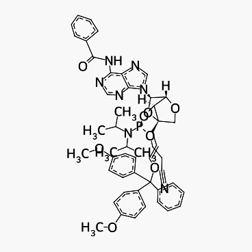 COc1ccc(C(OC=CC[C@@]23CO[C@@H]([C@H](n4cnc5c(NC(=O)c6ccccc6)ncnc54)O2)[C@@H]3OP(OCCC#N)N(C(C)C)C(C)C)(c2ccccc2)c2ccc(OC)cc2)cc1